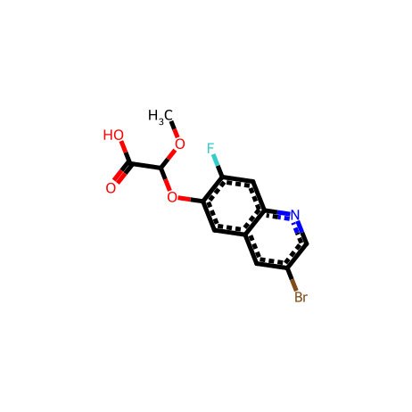 COC(Oc1cc2cc(Br)cnc2cc1F)C(=O)O